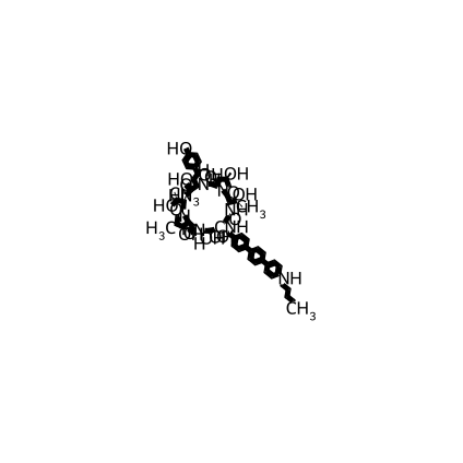 CCCCCNc1ccc(-c2ccc(-c3ccc(C(=O)N[C@H]4C[C@@H](O)[C@@H](O)NC(=O)[C@@H]5[C@@H](O)[C@@H](C)CN5C(=O)[C@H]([C@@H](C)O)NC(=O)[C@H]([C@H](O)[C@@H](O)c5ccc(O)cc5)NC(=O)[C@@H]5C[C@@H](O)CN5C(=O)[C@H]([C@@H](C)O)NC4=O)cc3)cc2)cc1